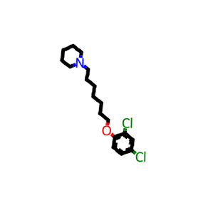 Clc1ccc(OCCCCCCCN2CCCCC2)c(Cl)c1